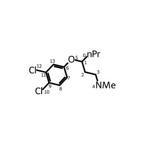 CCCC(CCNC)Oc1ccc(Cl)c(Cl)c1